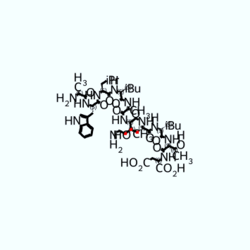 CC[C@H](C)[C@H](NC(=O)[C@H](CC(C)C)NC(=O)[C@H](Cc1c[nH]c2ccccc12)NC(=O)[C@H](C)N)C(=O)N[C@@H](C)C(=O)N[C@H](C(=O)N[C@@H](CCCCN)C(=O)N[C@H](C(=O)N[C@H](C(=O)N[C@@H](CC(=O)O)C(=O)O)[C@@H](C)O)[C@@H](C)CC)[C@@H](C)O